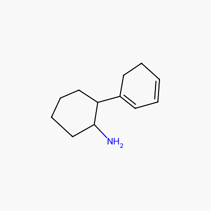 NC1CCCCC1C1=CC=CCC1